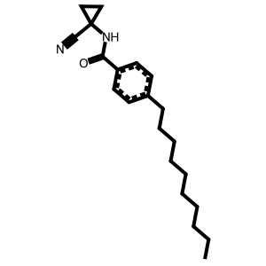 CCCCCCCCCCc1ccc(C(=O)NC2(C#N)CC2)cc1